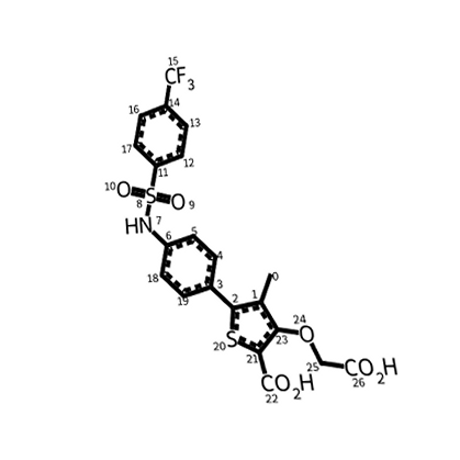 Cc1c(-c2ccc(NS(=O)(=O)c3ccc(C(F)(F)F)cc3)cc2)sc(C(=O)O)c1OCC(=O)O